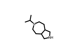 CC(C)N1CCC2CNCC2CC1